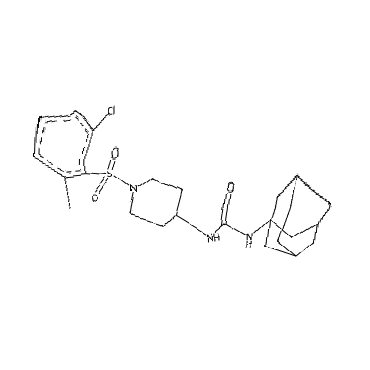 Cc1cccc(Cl)c1S(=O)(=O)N1CCC(NC(=O)NC23CC4CC(CC(C4)C2)C3)CC1